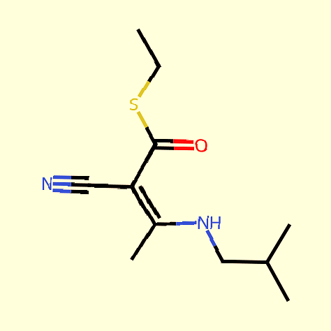 CCSC(=O)C(C#N)=C(C)NCC(C)C